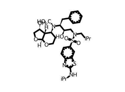 CC(C)CN(C[C@@H](O)[C@H](Cc1ccccc1)N(C(=O)O)[C@H]1CCO[C@H]2OC[C@H](O)[C@@H]21)S(=O)(=O)c1ccc2nc(NC(C)C)sc2c1